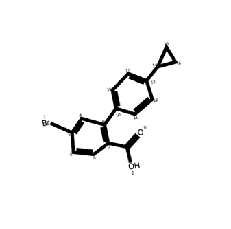 O=C(O)c1ccc(Br)cc1-c1ccc(C2CC2)cc1